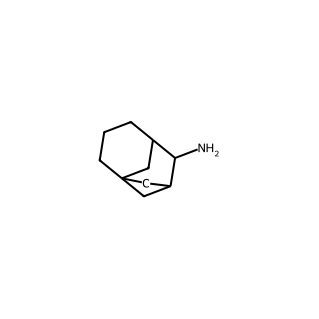 NC1C2CCCC3(C2)CC1C3